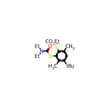 CCOC(=O)Sc1c(C)cc(C(C)(C)C)c(C)c1SC(=O)N(CC)CC